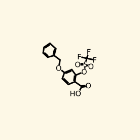 O=C(O)c1ccc(OCc2ccccc2)cc1OS(=O)(=O)C(F)(F)F